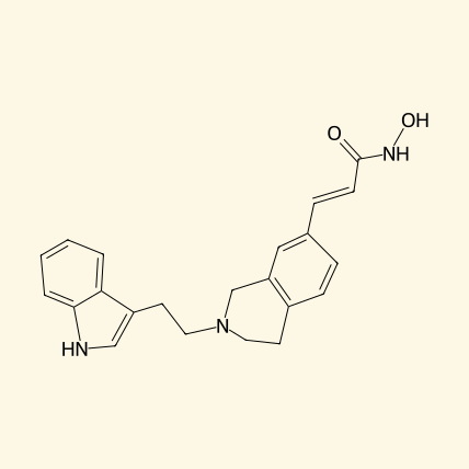 O=C(/C=C/c1ccc2c(c1)CN(CCc1c[nH]c3ccccc13)CC2)NO